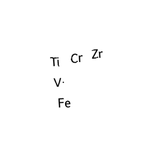 [Cr].[Fe].[Ti].[V].[Zr]